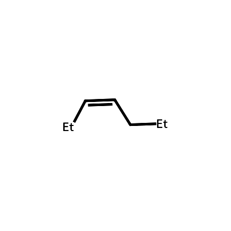 [CH2]C/C=C\CCC